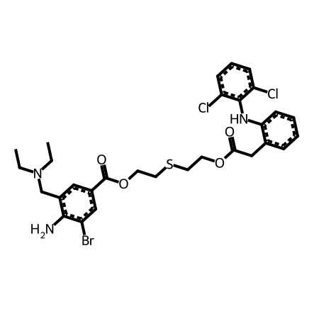 CCN(CC)Cc1cc(C(=O)OCCSCCOC(=O)Cc2ccccc2Nc2c(Cl)cccc2Cl)cc(Br)c1N